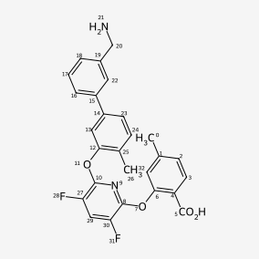 Cc1ccc(C(=O)O)c(Oc2nc(Oc3cc(-c4cccc(CN)c4)ccc3C)c(F)cc2F)c1